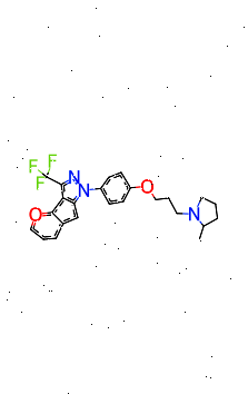 CC1CCCN1CCCOc1ccc(-n2nc(C(F)(F)F)c3c4occcc-4cc32)cc1